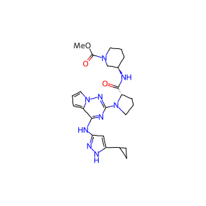 COC(=O)N1CCC[C@@H](NC(=O)[C@@H]2CCCN2c2nc(Nc3cc(C4CC4)[nH]n3)c3cccn3n2)C1